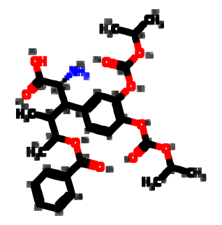 CC(C)OC(=O)Oc1ccc(C(C(C)C(C)OC(=O)c2ccccc2)[C@@H](N)C(=O)O)cc1OC(=O)OC(C)C